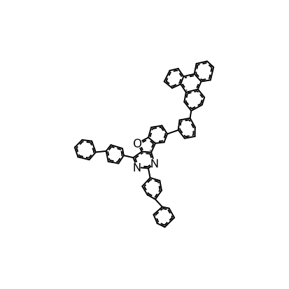 c1ccc(-c2ccc(-c3nc(-c4ccc(-c5ccccc5)cc4)c4oc5ccc(-c6cccc(-c7ccc8c9ccccc9c9ccccc9c8c7)c6)cc5c4n3)cc2)cc1